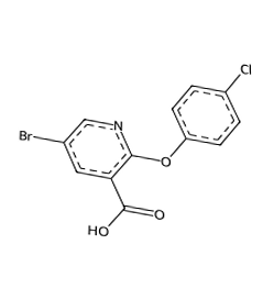 O=C(O)c1cc(Br)cnc1Oc1ccc(Cl)cc1